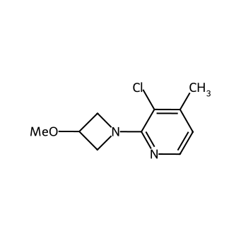 COC1CN(c2nccc(C)c2Cl)C1